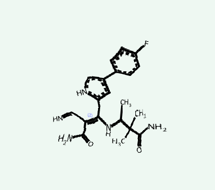 CC(N/C(=C(/C=N)C(N)=O)c1cc(-c2ccc(F)cc2)c[nH]1)C(C)(C)C(N)=O